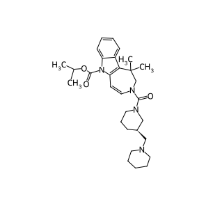 CC(C)OC(=O)n1c2c(c3ccccc31)C(C)(C)CN(C(=O)N1CCC[C@H](CN3CCCCC3)C1)C=C2